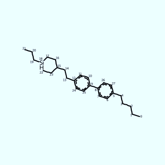 CCCCCc1ccc(-c2ccc(CCC3CC[SiH](CCC)CC3)cc2)cc1